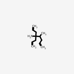 C=CCC(C)C(N)(CC=C)CC=C